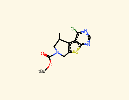 CC1CN(C(=O)OC(C)(C)C)Cc2sc3ncnc(Cl)c3c21